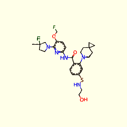 CC1(F)CCN(c2nc(NC(=O)c3ccc(SNCCO)cc3N3CCC4(CC3)CC4)ccc2OCF)C1